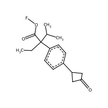 CCC(C(=O)OF)(c1ccc(C2CC(=O)C2)cc1)C(C)C